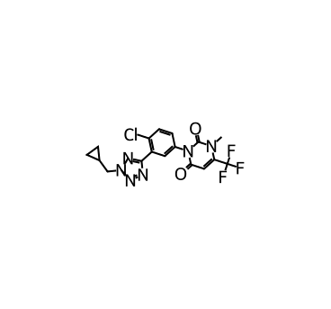 Cn1c(C(F)(F)F)cc(=O)n(-c2ccc(Cl)c(-c3nnn(CC4CC4)n3)c2)c1=O